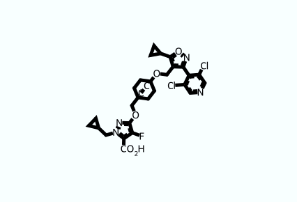 O=C(O)c1c(F)c(OCC23CCC(OCc4c(-c5c(Cl)cncc5Cl)noc4C4CC4)(CC2)CC3)nn1CC1CC1